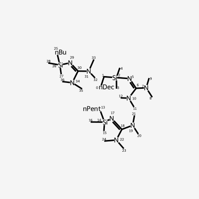 CCCCCCCCCCC[Si](C)(C)N=C(N(C)C)N(C)C.CCCCC[Si](C)(C)N=C(N(C)C)N(C)C.CCCC[Si](C)(C)N=C(N(C)C)N(C)C